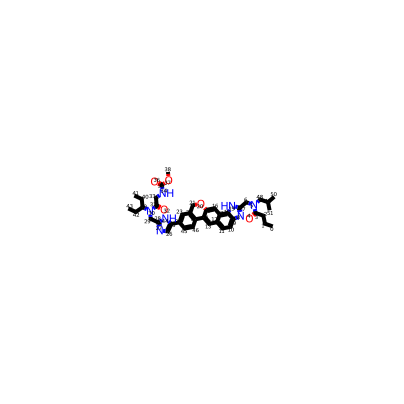 CCCC(=O)N(Cc1nc2ccc3cc4c(cc3c2[nH]1)OCc1cc(-c2cnc(CN(C(=O)CNC(=O)OC)C(CC)CC)[nH]2)ccc1-4)CC(C)C